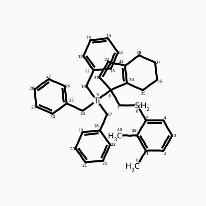 Cc1cccc([SiH2]C[C]2([Ti]([CH2]c3ccccc3)([CH2]c3ccccc3)[CH2]c3ccccc3)C=CC3=C2CCCC3)c1C